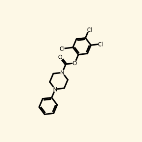 O=C(Oc1cc(Cl)c(Cl)cc1Cl)N1CCN(c2ccccc2)CC1